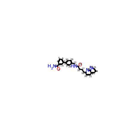 NC(=O)c1cccc(-c2ccc(CNC(=O)CCCc3ccc4cccnc4n3)cc2)c1